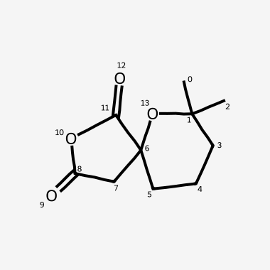 CC1(C)CCCC2(CC(=O)OC2=O)O1